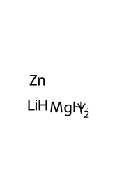 [LiH].[MgH2].[Y].[Zn]